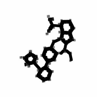 CCN(C)c1nc2cccc(C(=O)O)c2n1Cc1ccc(-c2ccccc2-c2nnn[nH]2)cc1